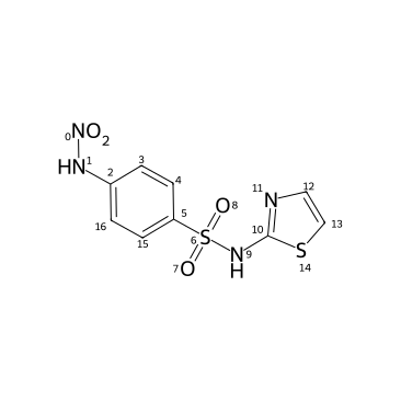 O=[N+]([O-])Nc1ccc(S(=O)(=O)Nc2nccs2)cc1